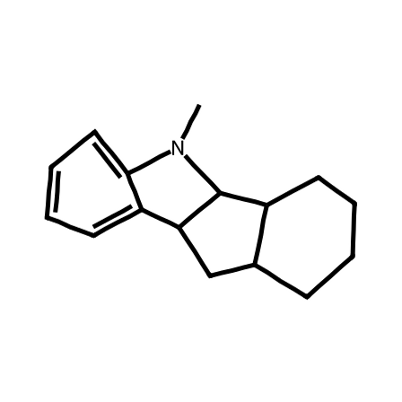 CN1c2ccccc2C2CC3CCCCC3C21